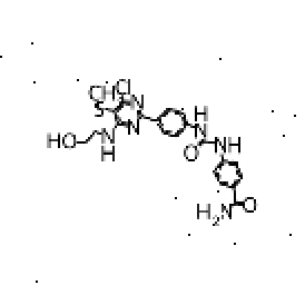 CSc1c(Cl)nc(-c2ccc(NC(=O)Nc3ccc(C(N)=O)cc3)cc2)nc1NCCO